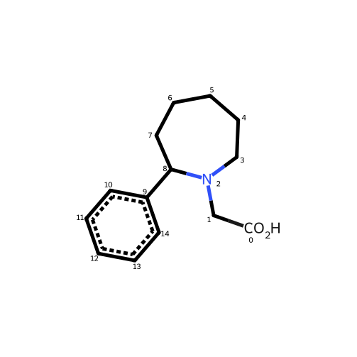 O=C(O)CN1CCCCCC1c1ccccc1